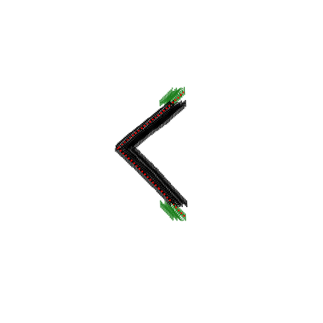 Cl.Cl.Cl.Cl.Cl.Cl.Cl.Cl.Cl.Cl.Cl.Cl.Cl.Cl.Cl.Cl.Cl.Cl.Cl.Cl.[NaH].[NaH].[NaH].[NaH].[NaH].[NaH].[NaH].[NaH].[NaH].[NaH].[NaH].[NaH].[NaH].[NaH].[NaH].[NaH].[NaH].[NaH].[NaH].[NaH].[NaH].[NaH].[NaH].[NaH].[NaH].[NaH].[NaH].[NaH].[NaH].[NaH].[NaH].[NaH].[NaH].[NaH].[NaH].[NaH].[NaH].[NaH].[NaH].[NaH].[NaH].[NaH].[NaH].[NaH].[NaH].[NaH].[NaH].[NaH].[NaH].[NaH].[NaH].[NaH].[NaH].[NaH].[NaH].[NaH].[NaH].[NaH].[NaH].[NaH].[NaH].[NaH].[NaH].[NaH].[NaH].[NaH].[NaH].[NaH].[NaH].[NaH].[NaH].[NaH].[NaH].[NaH].[NaH].[NaH].[NaH].[NaH].[NaH].[NaH]